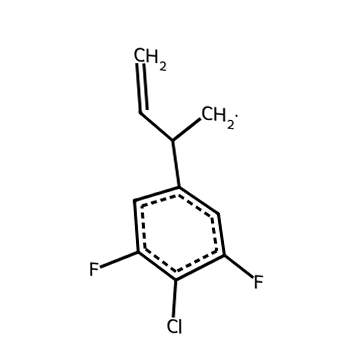 [CH2]C(C=C)c1cc(F)c(Cl)c(F)c1